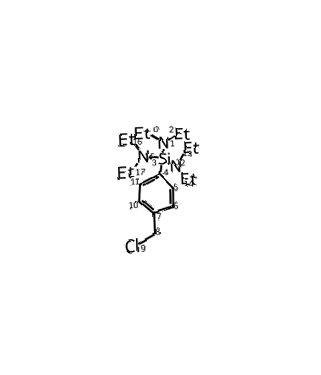 CCN(CC)[Si](c1ccc(CCl)cc1)(N(CC)CC)N(CC)CC